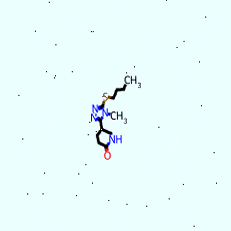 CCCCSc1nnc(C2CCC(=O)NC2)n1C